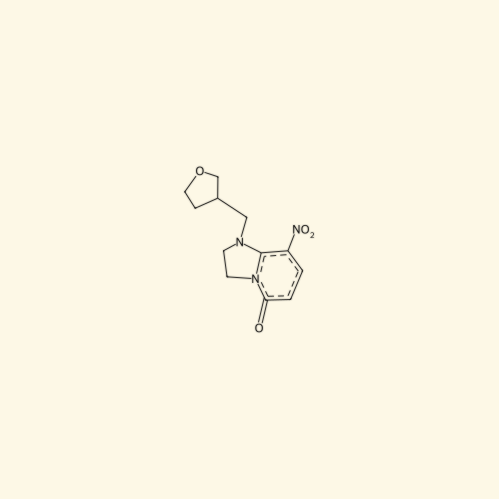 O=c1ccc([N+](=O)[O-])c2n1CCN2CC1CCOC1